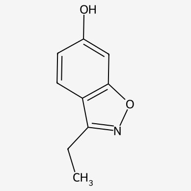 CCc1noc2cc(O)ccc12